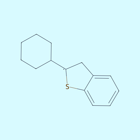 c1ccc2c(c1)C[C](C1CCCCC1)S2